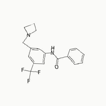 O=C(Nc1cc(CN2CCC2)cc(C(F)(F)F)c1)c1ccccc1